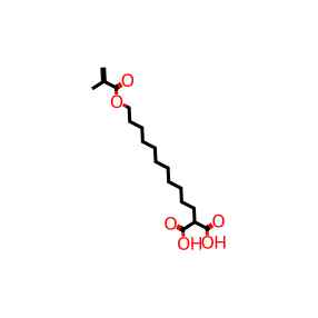 C=C(C)C(=O)OCCCCCCCCCCCC(C(=O)O)C(=O)O